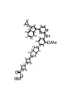 COc1cc(N2CC3CN(C4CN(C5CN(C(=O)OC(C)(C)C)C5)C4)CC3C2)ccc1Nc1nccc(-c2cn(C3CC3)c3ccccc23)n1